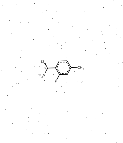 CC[C@H](N)c1ccc(C)cc1F